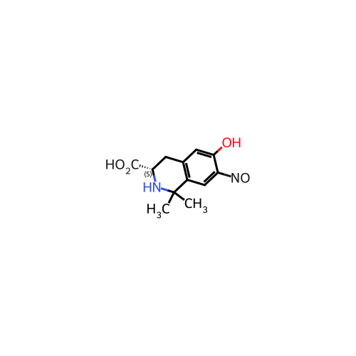 CC1(C)N[C@H](C(=O)O)Cc2cc(O)c(N=O)cc21